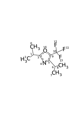 CC(C)c1nc(C(C)C)c(C(F)(F)F)o1